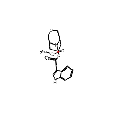 CC(C)(C)OC(=O)N1C2COCC1CC(OC(=O)c1c[nH]c3ccccc13)C2